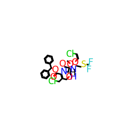 CO[C@@]1(NC(CSC(F)F)O/C=C\Cl)C(=O)N2C(C(=O)OC(c3ccccc3)c3ccccc3)=C(CCl)CO[C@@H]21